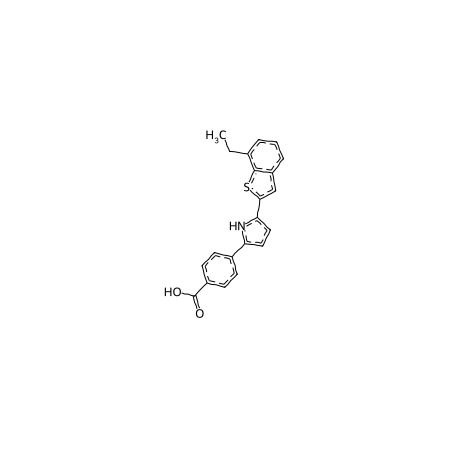 CCc1cccc2cc(-c3ccc(-c4ccc(C(=O)O)cc4)[nH]3)sc12